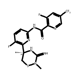 CN1SC[C@@](C)(c2nc(NC(=O)c3ncc(C(F)(F)F)cc3F)ccc2F)NC1=N